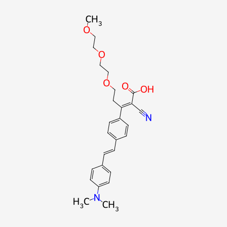 COCCOCCOCC/C(=C(/C#N)C(=O)O)c1ccc(C=Cc2ccc(N(C)C)cc2)cc1